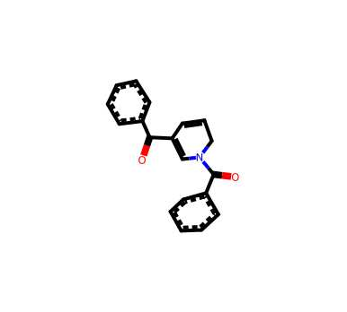 O=C(C1=CN(C(=O)c2ccccc2)CC=C1)c1ccccc1